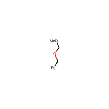 [CH2]OCOCCC